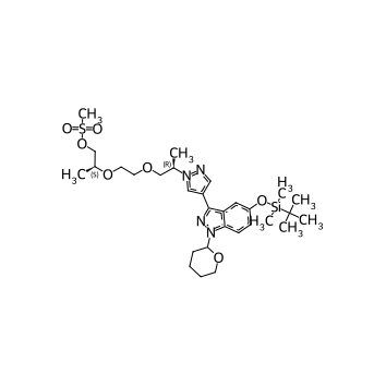 C[C@H](COCCO[C@@H](C)COS(C)(=O)=O)n1cc(-c2nn(C3CCCCO3)c3ccc(O[Si](C)(C)C(C)(C)C)cc23)cn1